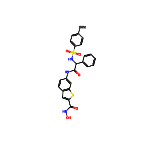 COc1ccc(S(=O)(=O)NC(C(=O)Nc2ccc3cc(C(=O)NO)sc3c2)c2ccccc2)cc1